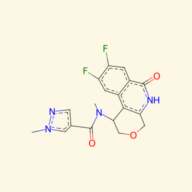 CN(C(=O)c1cnn(C)c1)C1COCc2[nH]c(=O)c3cc(F)c(F)cc3c21